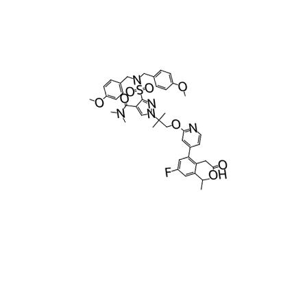 COc1ccc(CN(Cc2ccc(OC)cc2)S(=O)(=O)c2nn(C(C)(C)COc3cc(-c4cc(F)cc(C(C)C)c4CC(=O)O)ccn3)cc2C(=O)N(C)C)cc1